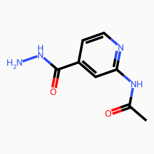 CC(=O)Nc1cc(C(=O)NN)ccn1